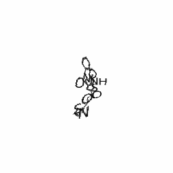 O=C(OCc1nccs1)c1cc2c(=O)n(Cc3ccccc3)c(=O)[nH]c2s1